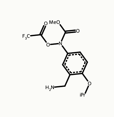 COC(=O)N(OC(=O)C(F)(F)F)c1ccc(OC(C)C)c(CN)c1